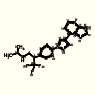 CC(C)NCC(c1ccc(-n2cc(-c3ccnc4[nH]cnc34)cn2)nc1)C(F)(F)F